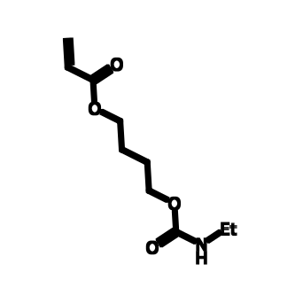 C=CC(=O)OCCCCOC(=O)NCC